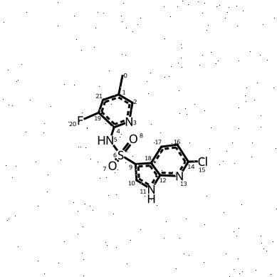 Cc1cnc(NS(=O)(=O)c2c[nH]c3nc(Cl)ccc23)c(F)c1